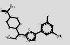 Cc1cc(N)cc(-c2cnc(C(CO)C3CCC(C(=O)O)CC3)s2)c1